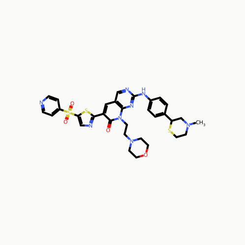 CN1CCSC(c2ccc(Nc3ncc4cc(-c5ncc(S(=O)(=O)c6ccncc6)s5)c(=O)n(CCN5CCOCC5)c4n3)cc2)C1